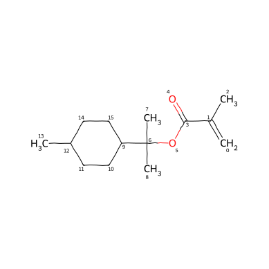 C=C(C)C(=O)OC(C)(C)C1CCC(C)CC1